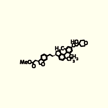 COC(=O)C[C@@H]1COc2cc(CC[C@@H]3CCc4c3ccc(C(F)(F)F)c4-c3c(C)cc(OCC4(O)CCOCC4)cc3C)ccc21